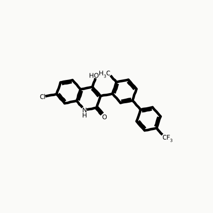 Cc1ccc(-c2ccc(C(F)(F)F)cc2)cc1-c1c(O)c2ccc(Cl)cc2[nH]c1=O